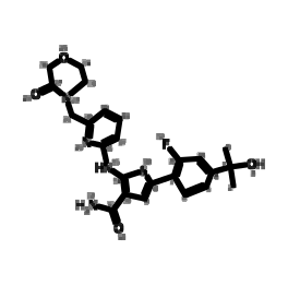 CC(C)(O)c1ccc(-c2cc(C(N)=O)c(Nc3cccc(CN4CCOCC4=O)n3)s2)c(F)c1